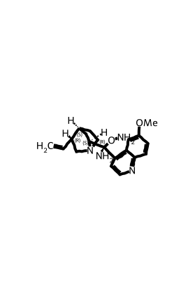 C=C[C@H]1CN2CC[C@H]1C[C@H]2[C@](N)(ON)c1ccnc2ccc(OC)cc12